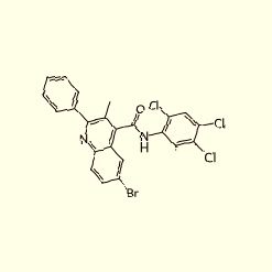 Cc1c(-c2ccccc2)nc2ccc(Br)cc2c1C(=O)Nc1[c]c(Cl)c(Cl)cc1Cl